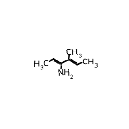 C/C=C(N)/C(C)=C/C